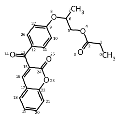 CCC(=O)OCC(C)Oc1ccc(C(=O)c2cc3ccccc3oc2=O)cc1